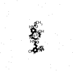 COC(=O)Nc1ccc2c(c1)NC(O)CCCC[C@H](NC(=O)/C=C/c1cc(Cl)ccc1-n1cnnn1)c1ncc-2o1